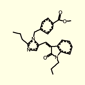 CCCc1ncc(C=C2C(=O)N(CCC)c3ccccc32)n1Cc1ccc(C(=O)OC)cc1